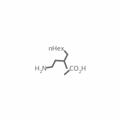 CC(=O)O.CCCCCCCC(C)CCN